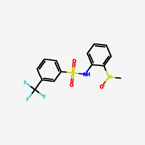 C[S+]([O-])c1ccccc1NS(=O)(=O)c1cccc(C(F)(F)F)c1